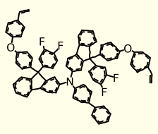 C=Cc1ccc(Oc2ccc(C3(c4ccc(F)c(F)c4)c4ccccc4-c4ccc(N(c5ccc(-c6ccccc6)cc5)c5ccc6c(c5)C(c5ccc(Oc7ccc(C=C)cc7)cc5)(c5ccc(F)c(F)c5)c5ccccc5-6)cc43)cc2)cc1